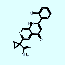 NC(=O)C1(c2cc3c(=O)cc(-c4ccccc4Cl)[nH]c3cn2)CC1